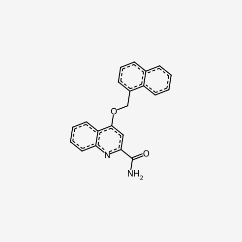 NC(=O)c1cc(OCc2cccc3ccccc23)c2ccccc2n1